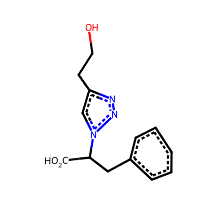 O=C(O)C(Cc1ccccc1)n1cc(CCO)nn1